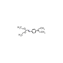 CCOC(/C=C/c1ccc(N(CC)CC)cc1)OCC